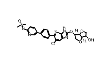 CS(C)(=O)=Nc1ccc(-c2ccc(-c3nc4[nH]c(O[C@@H]5CO[C@H]6[C@@H]5OC[C@H]6O)nc4cc3Cl)cc2)cn1